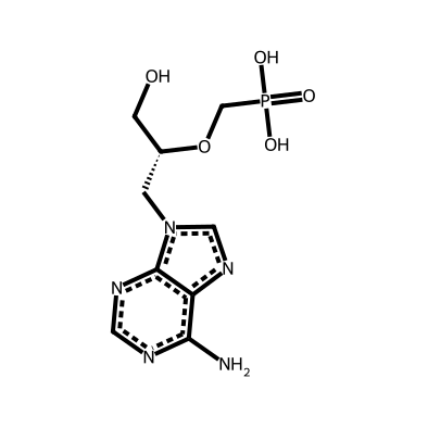 Nc1ncnc2c1ncn2C[C@H](CO)OCP(=O)(O)O